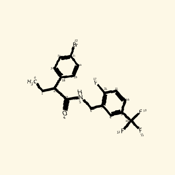 CCC(C(=O)NCc1cc(C(F)(F)F)ccc1F)c1ccc(Br)cc1